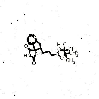 CC1(C)OB(CCCC2Cc3ncccc3C23NC(=O)NC3=O)OC1(C)C